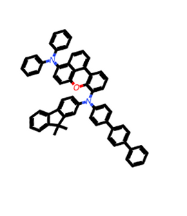 CC1(C)c2ccccc2-c2ccc(N(c3ccc(-c4ccc(-c5ccccc5)cc4)cc3)c3cccc4c3Oc3ccc(N(c5ccccc5)c5ccccc5)c5cccc-4c35)cc21